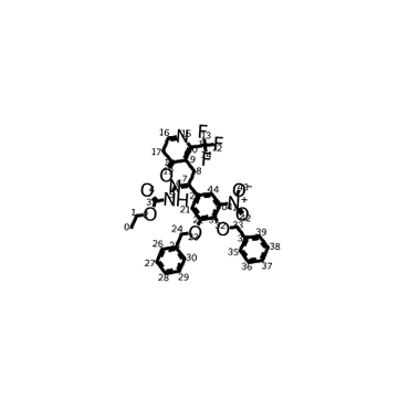 CCOC(=O)NN=C(CC1=C(C(F)(F)F)N=CCC1=O)c1cc(OCc2ccccc2)c(OCc2ccccc2)c([N+](=O)[O-])c1